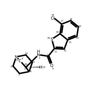 O=C(N[C@@H]1CN2CCC1CC2)c1cc2cccc(Cl)c2s1